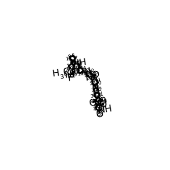 C[C@@H]1Cc2c([nH]c3ccccc23)[C@@H](c2c(F)cc(-c3cnc(C(=O)N4CCC(N5Cc6cc7c(cc6C5)C(=O)N(C5CCC(=O)NC5=O)C7=O)CC4)cn3)cc2F)N1CC(F)F